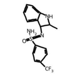 CC1Nc2ccccc2C1N=[S@](N)(=O)c1ccc(C(F)(F)F)cc1